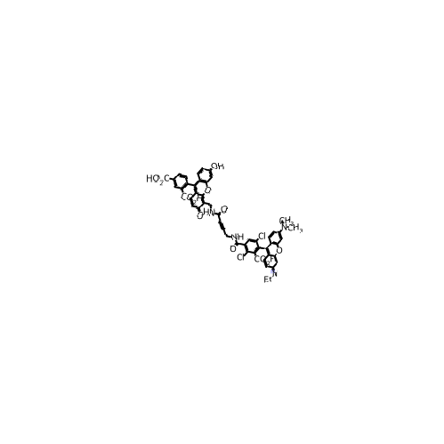 CC/N=c1\ccc2c(-c3c(Cl)cc(C(=O)NCC#CC(=O)NCc4c5oc6cc(O)ccc6c(-c6ccc(C(=O)O)cc6C(=O)O)c-5ccc4=O)c(Cl)c3C(=O)O)c3ccc(N(C)C)cc3oc-2c1